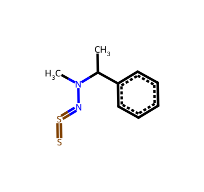 CC(c1ccccc1)N(C)N=S=S